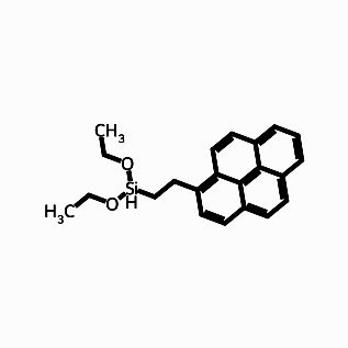 CCO[SiH](CCc1ccc2ccc3cccc4ccc1c2c34)OCC